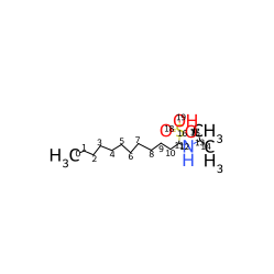 CCCCCCCCCCCC(NC(C)C)S(=O)(=O)O